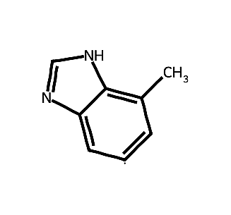 Cc1c[c]cc2nc[nH]c12